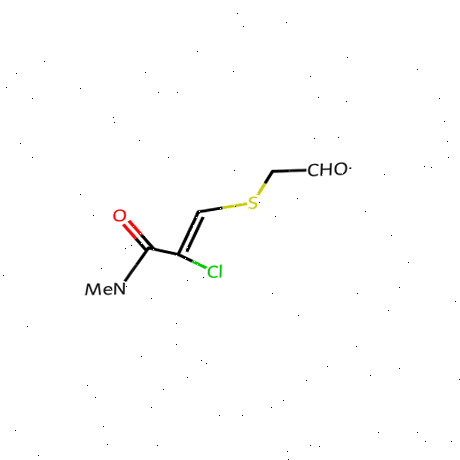 CNC(=O)C(Cl)=CSC[C]=O